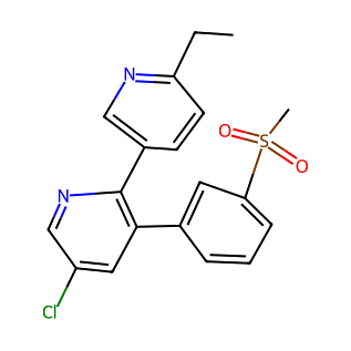 CCc1ccc(-c2ncc(Cl)cc2-c2cccc(S(C)(=O)=O)c2)cn1